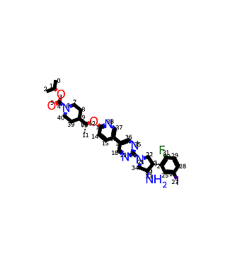 CC(C)OC(=O)N1CCC([C@@H](C)Oc2ccc(-c3cnc(N4C[C@H](c5cc(I)ccc5F)[C@@H](N)C4)nc3)cn2)CC1